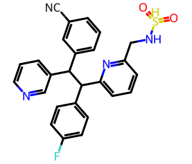 N#Cc1cccc(C(c2cccnc2)C(c2ccc(F)cc2)c2cccc(CN[SH](=O)=O)n2)c1